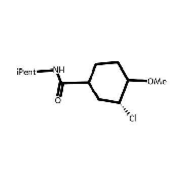 CCCC(C)NC(=O)C1CCC(OC)[C@H](Cl)C1